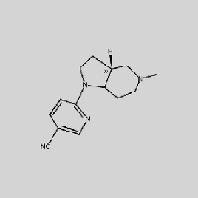 CN1CCC2[C@H](CCN2c2ccc(C#N)cn2)C1